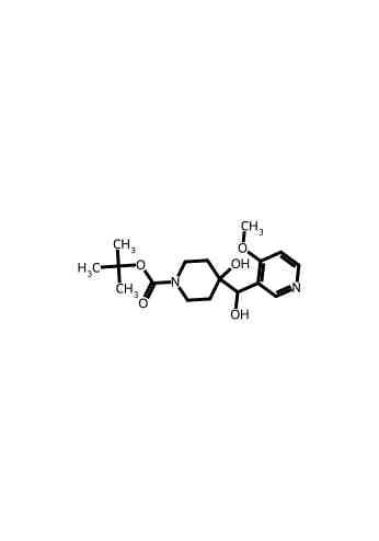 COc1ccncc1C(O)C1(O)CCN(C(=O)OC(C)(C)C)CC1